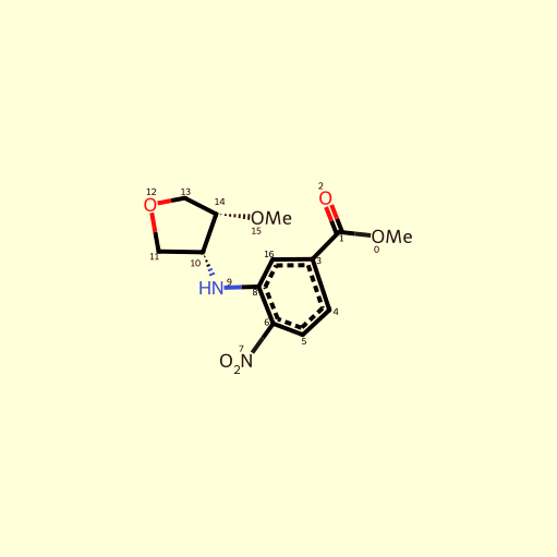 COC(=O)c1ccc([N+](=O)[O-])c(N[C@@H]2COC[C@@H]2OC)c1